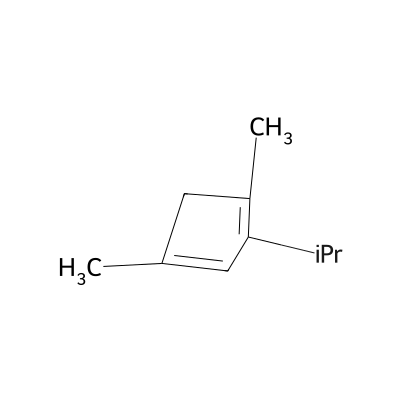 CC1=CC(C(C)C)=C(C)C1